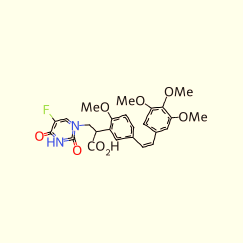 COc1ccc(/C=C\c2cc(OC)c(OC)c(OC)c2)cc1C(Cn1cc(F)c(=O)[nH]c1=O)C(=O)O